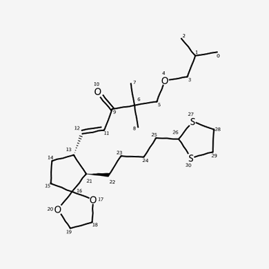 CC(C)COCC(C)(C)C(=O)C=C[C@H]1CCC2(OCCO2)[C@@H]1CCCCC1SCCS1